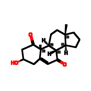 C[C@@]12CCC[C@H]1[C@@H]1C(=O)C=C3CC(O)CC(=O)[C@]3(C)[C@H]1CC2